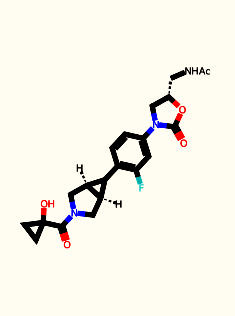 CC(=O)NC[C@H]1CN(c2ccc(C3[C@H]4CN(C(=O)C5(O)CC5)C[C@@H]34)c(F)c2)C(=O)O1